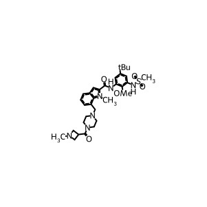 COc1c(NC(=O)c2cc3cccc(CN4CCN(C(=O)C5CN(C)C5)CC4)c3n2C)cc(C(C)(C)C)cc1NS(C)(=O)=O